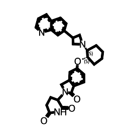 O=C1CCC(N2Cc3cc(O[C@H]4CCCC[C@@H]4N4CC(c5ccc6cccnc6c5)C4)ccc3C2=O)C(=O)N1